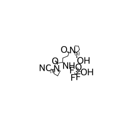 N#C[C@@H]1CCCN1C(=O)C(N)CCC(=O)N1CCC[C@H]1CO.O=C(O)C(F)(F)F